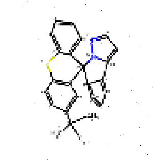 CC(C)(C)c1ccc2c(c1)C1(c3ccccc3S2)c2ccccc2-c2ccnn21